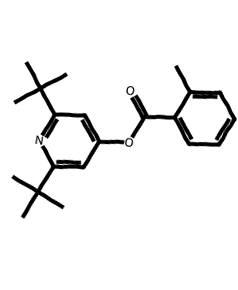 Cc1ccccc1C(=O)Oc1cc(C(C)(C)C)nc(C(C)(C)C)c1